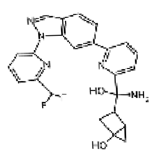 N[C@@](O)(c1cccc(-c2ccc3cnn(-c4cccc(C(F)F)n4)c3c2)n1)C1CC2(O)CC12